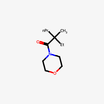 CCCC(C)(CC)C(=O)N1CCOCC1